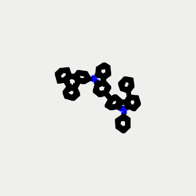 c1ccc(-c2cccc3c2c2cc(-c4ccc5c(c4)c4ccccc4n5-c4ccc5c6ccccc6c6ccccc6c5c4)ccc2n3-c2ccccc2)cc1